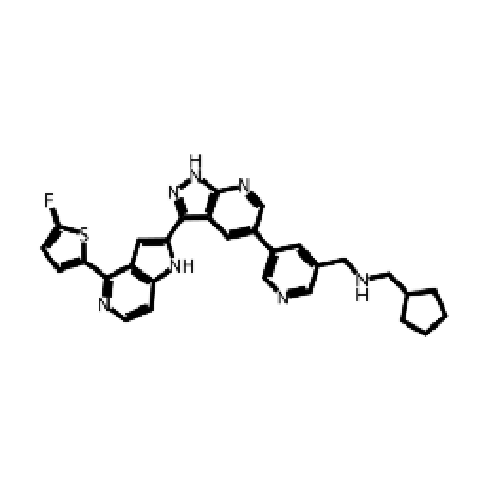 Fc1ccc(-c2nccc3[nH]c(-c4n[nH]c5ncc(-c6cncc(CNCC7CCCC7)c6)cc45)cc23)s1